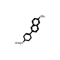 CCCCCCCC1CC=C(c2ccc3cc(CCCC)ccc3c2)CC1